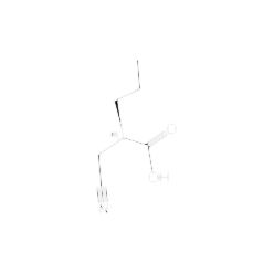 CCC[C@H](CC#N)C(=O)O